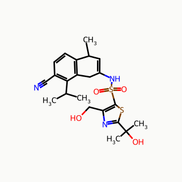 CC(C)c1c(C#N)ccc2c1CC(NS(=O)(=O)c1sc(C(C)(C)O)nc1CO)=CC2C